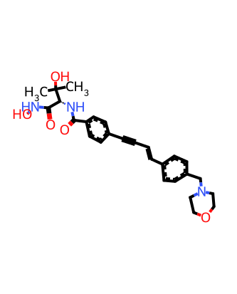 CC(C)(O)[C@H](NC(=O)c1ccc(C#C/C=C/c2ccc(CN3CCOCC3)cc2)cc1)C(=O)NO